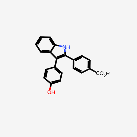 O=C(O)c1ccc(-c2[nH]c3ccccc3c2-c2ccc(O)cc2)cc1